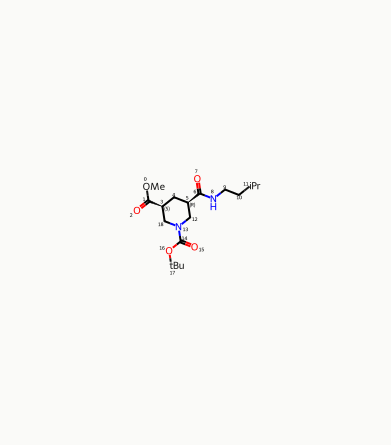 COC(=O)[C@H]1C[C@@H](C(=O)NCCC(C)C)CN(C(=O)OC(C)(C)C)C1